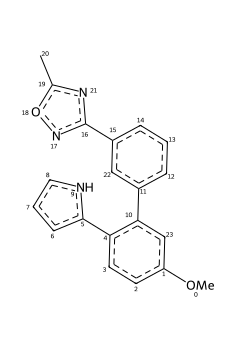 COc1ccc(-c2ccc[nH]2)c(-c2cccc(-c3noc(C)n3)c2)c1